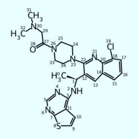 C[C@H](Nc1ncnc2sccc12)c1cc2cccc(Cl)c2nc1N1CCN(C(=O)CN(C)C)CC1